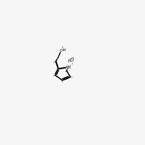 CC(=O)OCc1ccc[nH]1.Cl